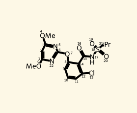 COc1cc(OC)nc(Oc2cccc(Cl)c2C(=O)NS(=O)(=O)C(C)C)n1